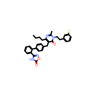 CCCCc1nc(C)n(CCc2cccc(F)c2)c(=O)c1Cc1ccc(-c2ccccc2-c2noc(=O)[nH]2)cc1